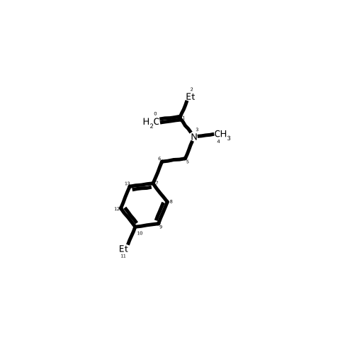 C=C(CC)N(C)CCc1ccc(CC)cc1